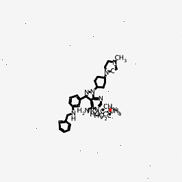 CC(=O)O.CC(=O)O.CC(=O)O.CN1CCN(C2CCC(n3nc(-c4cccc(NCc5ccccc5)c4)c4c(N)ncnc43)CC2)CC1